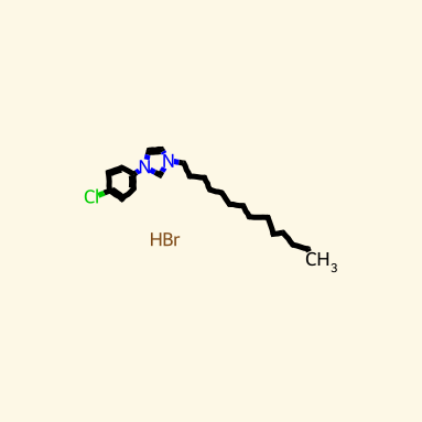 Br.CCCCCCCCCCCCCCN1C=CN(c2ccc(Cl)cc2)C1